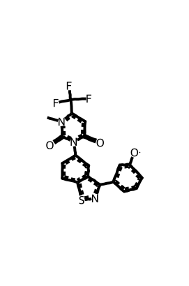 Cn1c(C(F)(F)F)cc(=O)n(-c2ccc3snc(-c4cccc([O])c4)c3c2)c1=O